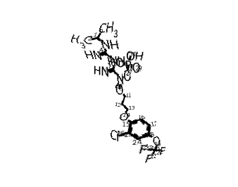 CC(C)NC(=N)NC(=N)N(OCCCOc1ccc(OC(F)(F)F)cc1Cl)OP(=O)(O)O